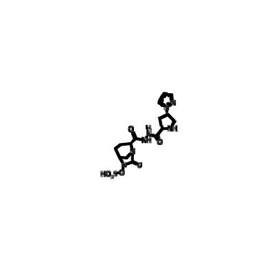 O=C(NNC(=O)[C@@H]1CCC2CN1C(=O)N2OS(=O)(=O)O)C1C[C@@H](n2cccn2)CN1